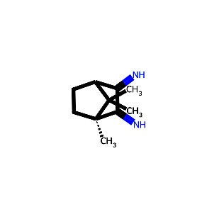 CC1(C)C2CC[C@]1(C)C(=N)C2=N